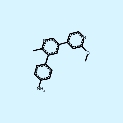 COc1cc(-c2cnc(C)c(-c3ccc(N)cc3)c2)ccn1